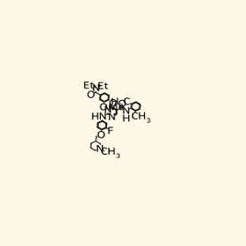 CCN(CC)C(=O)c1ccc(Oc2nc(Nc3ccc(OCC4CCCN(C)C4)c(F)c3)ncc2C(=O)Nc2c(C)cccc2C)c(OC)c1